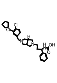 C1CCCC1.O=C(O)NC(CCN1CC2CN(Cc3ccc(Cl)c(Cl)c3)C[C@@H]2C1)c1ccccc1